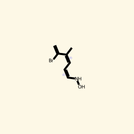 C=C(Br)/C(C)=C\C=C/NO